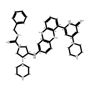 O=C(OCc1ccccc1)N1CC(Nc2ccc3c(c2)Sc2cccc(-c4cc(N5CCOCC5)cc(=O)[nH]4)c2S3)[C@H](N2CCOCC2)C1